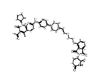 CC(=O)c1c(C)c2cnc(Nc3ccc(N4CCN(CCOCCSc5cccc6c5C(=O)N(C5CCC(=O)NC5=O)C6=O)CC4)cn3)nc2n(C2CCCC2)c1=O